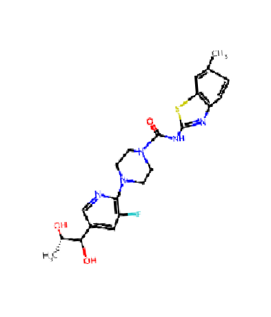 Cc1ccc2nc(NC(=O)N3CCN(c4ncc(C(O)[C@H](C)O)cc4F)CC3)sc2c1